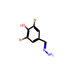 NN=Cc1cc(Br)c(O)c(Br)c1